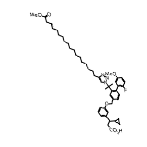 COC(=O)CCCCCCCCCCCCCCCCCc1cn(C(C)(C)c2cc(COc3cccc(C(CC(=O)O)C4CC4)c3)ccc2-c2cc(OC)ccc2F)nn1